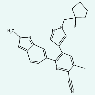 Cn1cc2ccc(-c3nc(C#N)c(F)cc3-c3cnn(CC4(F)CCCC4)c3)cc2n1